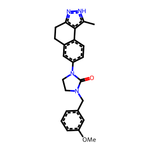 COc1cccc(CN2CCN(c3ccc4c(c3)CCc3n[nH]c(C)c3-4)C2=O)c1